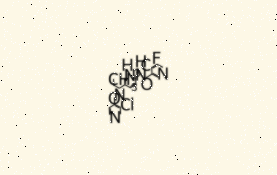 CC/C(=N\Oc1ccncc1Cl)c1ccc(NC(=O)c2cncc(F)c2C)nc1